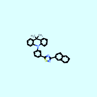 CC1(C)c2ccccc2N(c2cccc(-c3nc(-c4ccc5ccccc5c4)ns3)c2)c2ccccc21